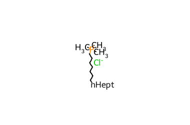 CCCCCCCCCCCCCC[P+](C)(C)C.[Cl-]